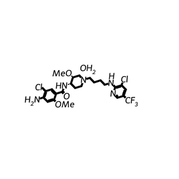 COc1cc(N)c(Cl)cc1C(=O)N[C@H]1CCN(CCCCNc2ncc(C(F)(F)F)cc2Cl)C[C@H]1OC.O